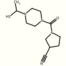 CC(S)N1CCN(C(=O)N2CCC(C#N)C2)CC1